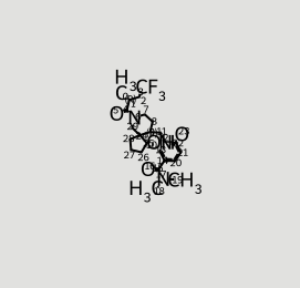 C[C@H](CC(F)(F)F)C(=O)N1CC[C@@](O)(Cn2cc(C(=O)N(C)C)ccc2=O)C2(CCCC2)C1